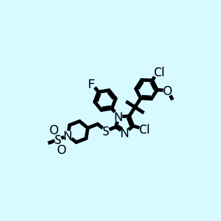 COc1cc(C(C)(C)c2c(Cl)nc(SCC3CCN(S(C)(=O)=O)CC3)n2-c2ccc(F)cc2)ccc1Cl